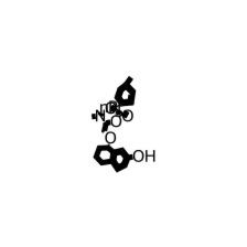 CCCN(C)C(CO[C@H]1CCCc2ccc(O)cc21)OS(=O)(=O)c1ccc(C)cc1